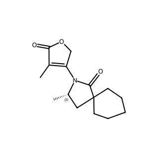 CC1=C(N2C(=O)C3(CCCCC3)C[C@@H]2C)COC1=O